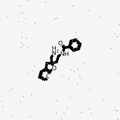 NCC1(CCNC(=O)c2ccccc2)Cc2ccccc2O1